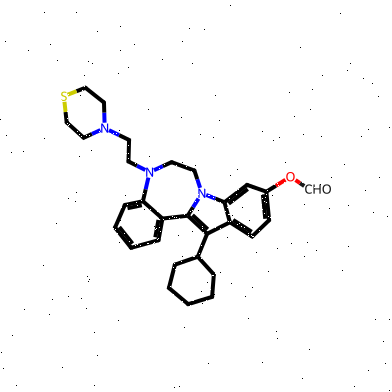 O=COc1ccc2c(C3CCCCC3)c3n(c2c1)CCN(CCN1CCSCC1)c1ccccc1-3